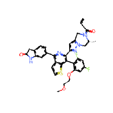 C=CC(=O)N1Cc2cc(-c3nc(-c4ccc5c(c4)NC(=O)C5)c4ccsc4c3-c3c(F)cc(F)cc3OCCOC)nn2C[C@H]1C